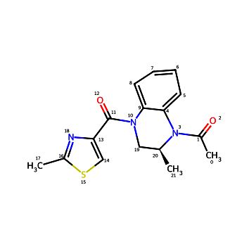 CC(=O)N1c2ccccc2N(C(=O)c2csc(C)n2)C[C@@H]1C